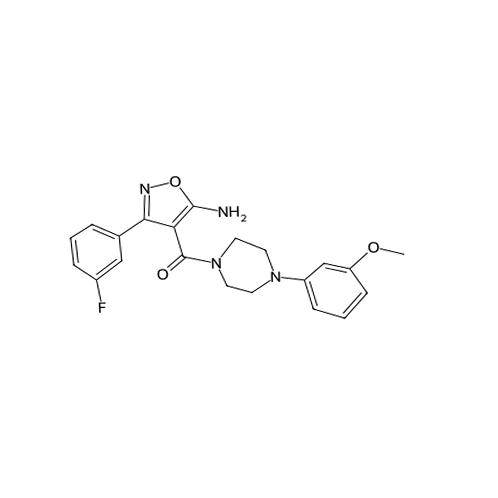 COc1cccc(N2CCN(C(=O)c3c(-c4cccc(F)c4)noc3N)CC2)c1